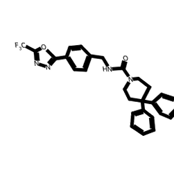 O=C(NCc1ccc(-c2nnc(C(F)(F)F)o2)cc1)N1CCC(c2ccccc2)(c2ccccc2)CC1